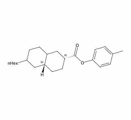 CCCCCCC1CCC2C[C@H](C(=O)Oc3ccc(C)cc3)CC[C@@H]2C1